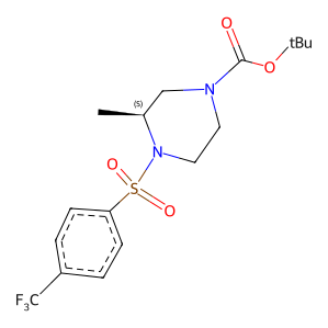 C[C@H]1CN(C(=O)OC(C)(C)C)CCN1S(=O)(=O)c1ccc(C(F)(F)F)cc1